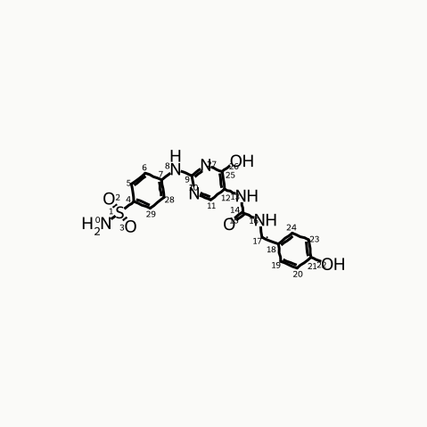 NS(=O)(=O)c1ccc(Nc2ncc(NC(=O)N[CH]c3ccc(O)cc3)c(O)n2)cc1